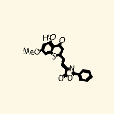 COc1cc(O)c2c(c1)SC(CC=C1N=C(c3ccccc3)OC1=O)CC2=O